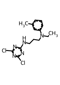 CCN(CCCNc1nc(Cl)nc(Cl)n1)c1cccc(C)c1